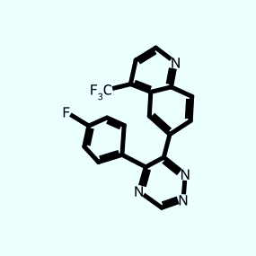 Fc1ccc(-c2ncnnc2-c2ccc3nccc(C(F)(F)F)c3c2)cc1